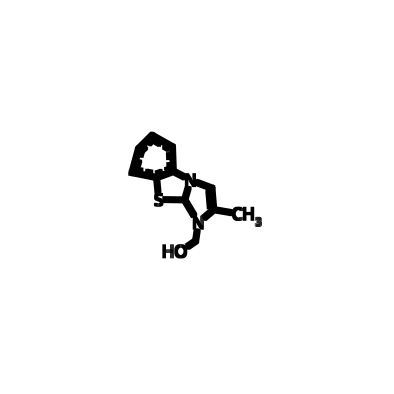 CC1=CN2c3ccccc3SC2N1CO